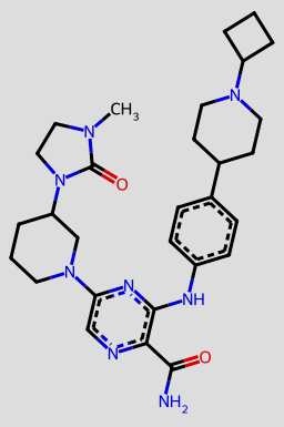 CN1CCN(C2CCCN(c3cnc(C(N)=O)c(Nc4ccc(C5CCN(C6CCC6)CC5)cc4)n3)C2)C1=O